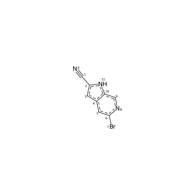 N#Cc1cc2cc(Br)ncc2[nH]1